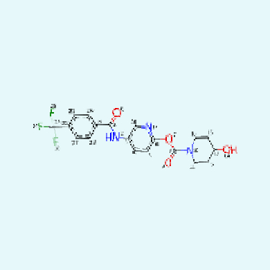 O=C(Nc1ccc(OC(=O)N2CCC(O)CC2)nc1)c1ccc(C(F)(F)F)cc1